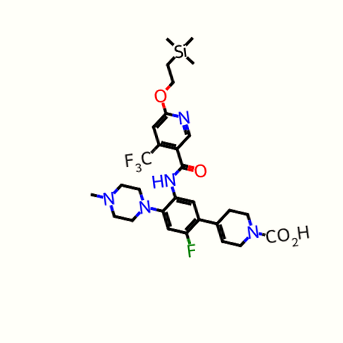 CN1CCN(c2cc(F)c(C3=CCN(C(=O)O)CC3)cc2NC(=O)c2cnc(OCC[Si](C)(C)C)cc2C(F)(F)F)CC1